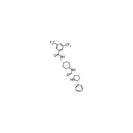 O=C(NC[C@H]1CC[C@H](NC(=O)[C@@H]2CC[C@H](c3ccccc3)N2)CC1)c1cc(C(F)(F)F)cc(C(F)(F)F)c1